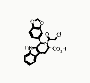 O=C(O)[C@@H]1Cc2c([nH]c3ccccc23)[C@@H](c2ccc3c(c2)OCO3)N1C(=O)CCl